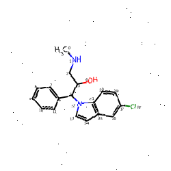 CNCC(O)C(c1ccccc1)n1ccc2cc(Cl)ccc21